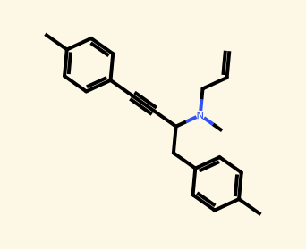 C=CCN(C)C(C#Cc1ccc(C)cc1)Cc1ccc(C)cc1